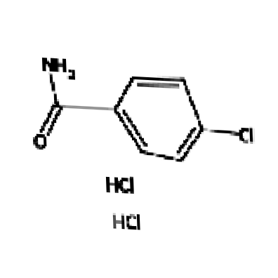 Cl.Cl.NC(=O)c1ccc(Cl)cc1